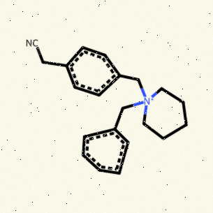 N#CCc1ccc(C[N+]2(Cc3ccccc3)CCCCC2)cc1